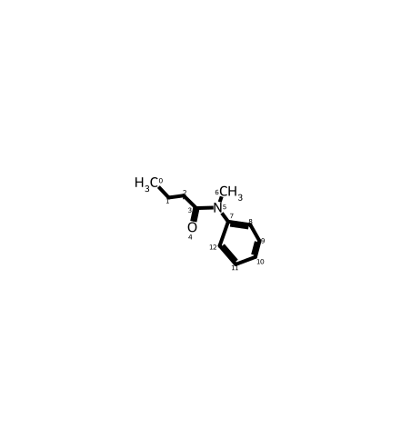 CC[CH]C(=O)N(C)c1ccccc1